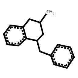 CC1Cc2ccccc2C(Cc2ccccc2)C1